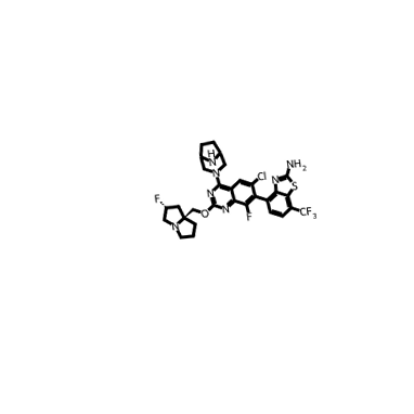 Nc1nc2c(-c3c(Cl)cc4c(N5CC6CCC(C5)N6)nc(OC[C@@]56CCCN5C[C@H](F)C6)nc4c3F)ccc(C(F)(F)F)c2s1